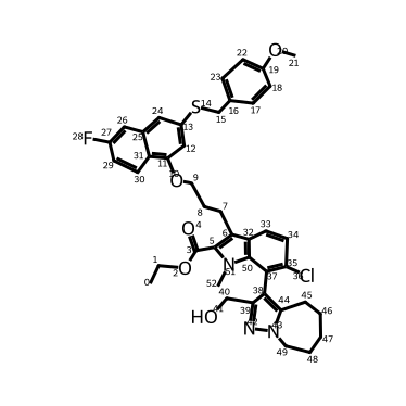 CCOC(=O)c1c(CCCOc2cc(SCc3ccc(OC)cc3)cc3cc(F)ccc23)c2ccc(Cl)c(-c3c(CO)nn4c3CCCCC4)c2n1C